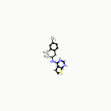 Cc1cc(C(F)(F)F)ccc1CC(C)Nc1ncnc2sccc12